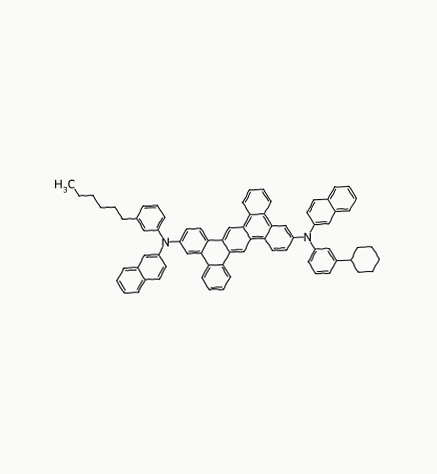 CCCCCCc1cccc(N(c2ccc3ccccc3c2)c2ccc3c(c2)c2ccccc2c2cc4c5ccc(N(c6cccc(C7CCCCC7)c6)c6ccc7ccccc7c6)cc5c5ccccc5c4cc32)c1